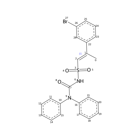 C/C(=C\S(=O)(=O)NC(=O)N(c1ccccc1)c1ccccc1)c1cccc(Br)c1